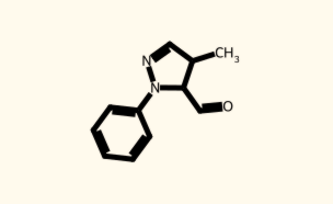 CC1C=NN(c2ccccc2)C1C=O